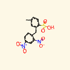 Cc1ccc(S(=O)(=O)O)c(Cc2ccc([N+](=O)[O-])cc2[N+](=O)[O-])c1